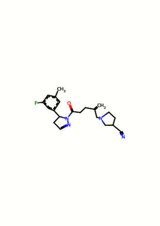 C=C(CCC(=O)N1N=CCC1c1cc(C)cc(F)c1)CN1CCC(C#N)C1